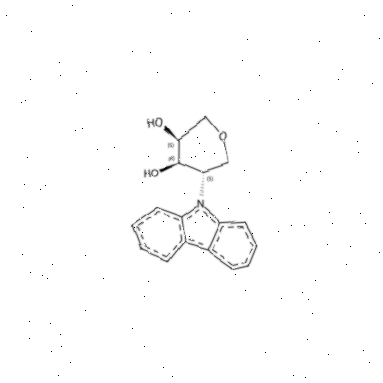 O[C@H]1[C@@H](O)COC[C@@H]1n1c2ccccc2c2ccccc21